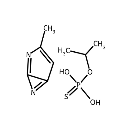 CC(C)OP(O)(O)=S.Cc1cc2nc-2n1